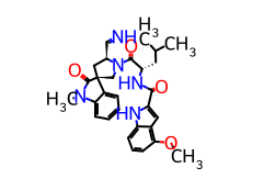 COc1cccc2[nH]c(C(=O)N[C@@H](CC(C)C)C(=O)N3C[C@]4(C[C@H]3C=N)C(=O)N(C)c3ccccc34)cc12